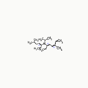 C=C/C(C)=C\C=C(/C=C)N(/C(C=C)=C/C=C(C)C)C(C)C